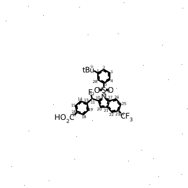 CC(C)(C)c1cccc(S(=O)(=O)n2c(C(F)c3ccc(C(=O)O)cc3)cc3cc(C(F)(F)F)ccc32)c1